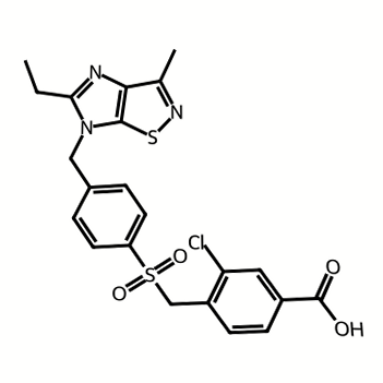 CCc1nc2c(C)nsc2n1Cc1ccc(S(=O)(=O)Cc2ccc(C(=O)O)cc2Cl)cc1